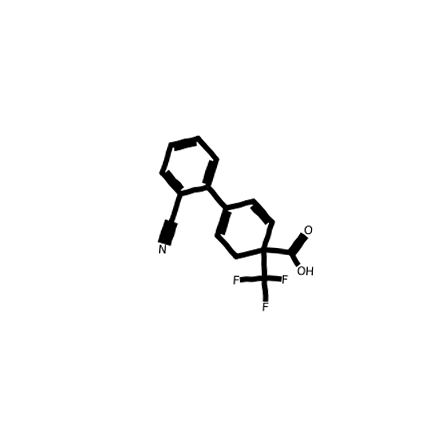 N#Cc1ccccc1C1=CCC(C(=O)O)(C(F)(F)F)C=C1